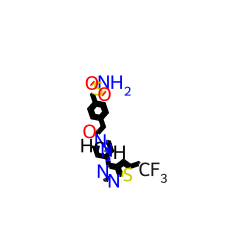 NS(=O)(=O)Cc1ccc(CC(=O)N2C[C@@H]3CC[C@H]2CN3c2ncnc3sc(CC(F)(F)F)cc23)cc1